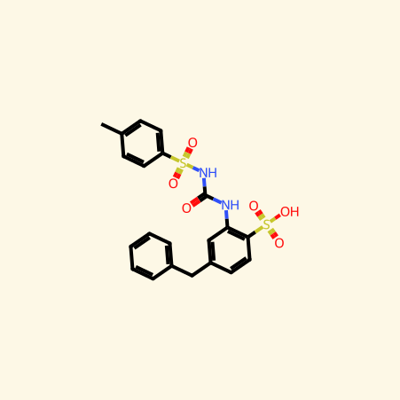 Cc1ccc(S(=O)(=O)NC(=O)Nc2cc(Cc3ccccc3)ccc2S(=O)(=O)O)cc1